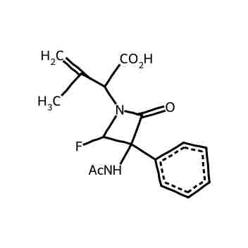 C=C(C)C(C(=O)O)N1C(=O)C(NC(C)=O)(c2ccccc2)C1F